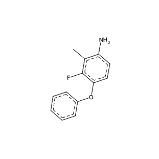 Cc1c(N)ccc(Oc2ccccc2)c1F